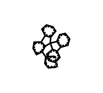 [c]1ccc(-c2cccc3c2C2(c4ccccc4-c4ccccc42)c2ccccc2-3)cc1